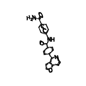 NC(=O)C12CCC(NC(=O)c3ccc(-c4nccc5occc45)cc3)(CC1)CC2